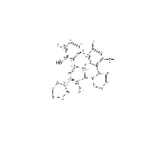 Cc1cc(O)c(C2CCCCC2)cc1-c1ccc(C)c(O)c1-c1cc(C2CCCCC2)c(O)cc1C